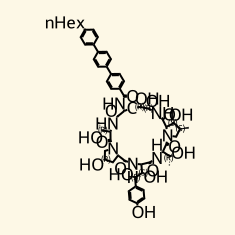 CCCCCCc1ccc(-c2ccc(-c3ccc(C(=O)NC4C[C@@H](O)[C@@H](O)NC(=O)C5[C@@H](O)[C@@H](C)CN5C(=O)C([C@@H](C)O)NC(=O)C([C@H](O)[C@@H](O)c5ccc(O)cc5)NC(=O)C5C[C@@H](O)CN5C(=O)C([C@@H](C)O)NC4=O)cc3)cc2)cc1